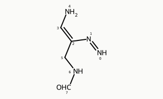 N=N/C(=C\N)CNC=O